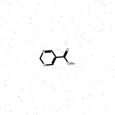 COC(=O)C1=COCN=C1